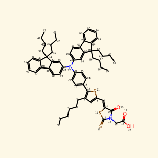 CCCCCCc1cc(/C=C2\SC(=S)N(CC(=O)O)C2=O)sc1-c1ccc(N(c2ccc3c(c2)C(CCCC)(CCCC)c2ccccc2-3)c2ccc3c(c2)C(CCCC)(CCCC)c2ccccc2-3)cc1